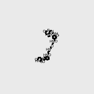 COc1cc(C(=O)NCCOCCNCCC(=O)Nc2cccc3c2CN(C2CCC(=O)NC2=O)C3=O)ccc1Nc1ncc2c(n1)N(C(C)C)[C@H](C)C1OC1N2C